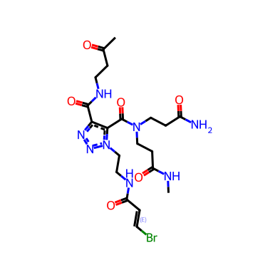 CNC(=O)CCN(CCC(N)=O)C(=O)c1c(C(=O)NCCC(C)=O)nnn1CCNC(=O)/C=C/Br